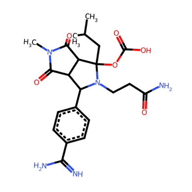 CC(C)CC1(OC(=O)O)C2C(=O)N(C)C(=O)C2C(c2ccc(C(=N)N)cc2)N1CCC(N)=O